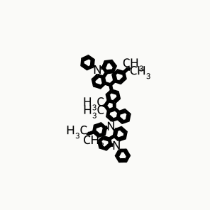 CC(C)c1ccc(C(c2ccc3c(c2)C(C)(C)c2cc(N(c4ccc(C(C)C)cc4)c4cccc5c4c4ccccc4n5-c4ccccc4)c4ccccc4c2-3)c2cccc3c2c2ccccc2n3-c2ccccc2)cc1